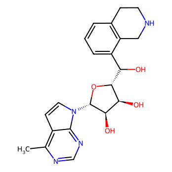 Cc1ncnc2c1ccn2[C@@H]1O[C@H](C(O)c2cccc3c2CNCC3)[C@@H](O)[C@H]1O